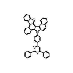 c1ccc(-c2cc(-c3ccc(-n4c5ccc6ccccc6c5c5c6sc7ccccc7c6c6ccccc6c54)cc3)nc(-c3ccccc3)n2)cc1